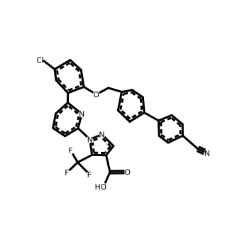 N#Cc1ccc(-c2ccc(COc3ccc(Cl)cc3-c3cccc(-n4ncc(C(=O)O)c4C(F)(F)F)n3)cc2)cc1